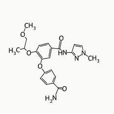 COCC(C)Oc1ccc(C(=O)Nc2ccn(C)n2)cc1Oc1ccc(C(N)=O)cc1